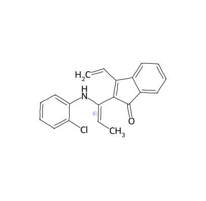 C=CC1=C(/C(=C\C)Nc2ccccc2Cl)C(=O)c2ccccc21